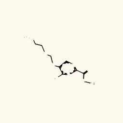 COCCOCOc1cnc(C(=O)NN)nc1C(C)(C)C